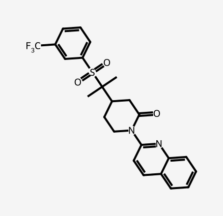 CC(C)(C1CCN(c2ccc3ccccc3n2)C(=O)C1)S(=O)(=O)c1cccc(C(F)(F)F)c1